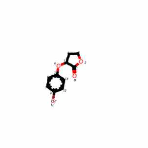 O=C1OCCC1Oc1ccc(Br)cc1